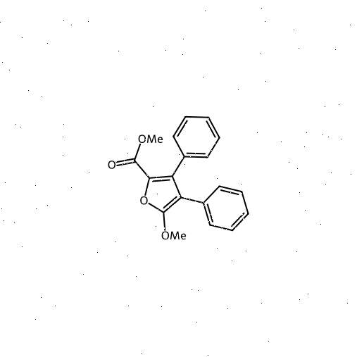 COC(=O)c1oc(OC)c(-c2ccccc2)c1-c1ccccc1